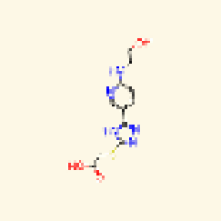 O=C(O)CSc1nnc(-c2ccc(NCCO)nc2)[nH]1